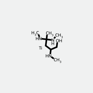 CNC(CO)CC(C)(NC)NC.[Ti]